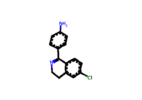 Nc1ccc(C2=NCCc3cc(Cl)ccc32)cc1